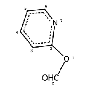 O=COc1cc[c]cn1